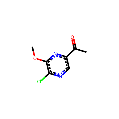 COc1nc(C(C)=O)cnc1Cl